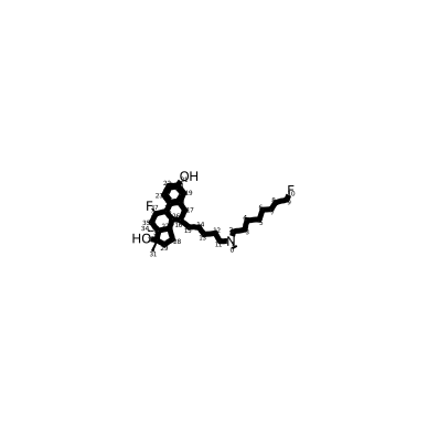 CN(CCCCCCCCF)CCCCCC1Cc2cc(O)ccc2C2C1C1CC[C@](C)(O)[C@@]1(C)C[C@@H]2F